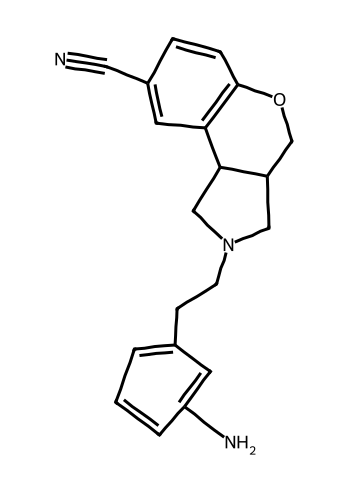 N#Cc1ccc2c(c1)C1CN(CCc3cccc(N)c3)CC1CO2